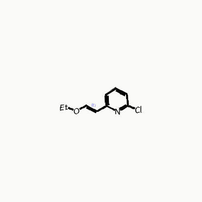 CCO/C=C/c1cccc(Cl)n1